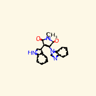 CN1C(=O)C(c2c[nH]c3ccccc23)=C(n2cnc3ccccc32)C1=O